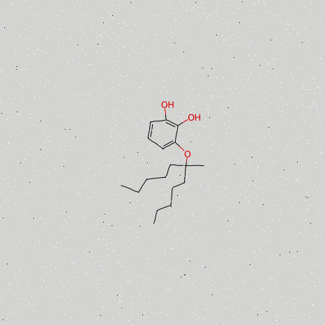 CCCCCC(C)(CCCCC)Oc1cccc(O)c1O